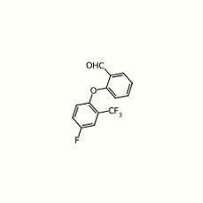 O=Cc1ccccc1Oc1ccc(F)cc1C(F)(F)F